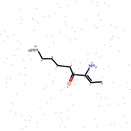 C/C=C(\N)C(=O)CCCCCCCCCC